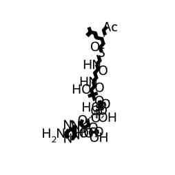 C=C(C)C=C[C@H](CCC(C)=O)CC(=O)SCCNC(=O)CCNC(=O)[C@H](O)C(C)(C)COP(=O)(O)OP(=O)(O)OC[C@H]1O[C@@H](n2cnc3c(N)ncnc32)[C@H](O)[C@@H]1OP(=O)(O)O